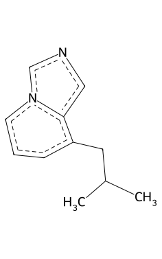 CC(C)Cc1cccn2cncc12